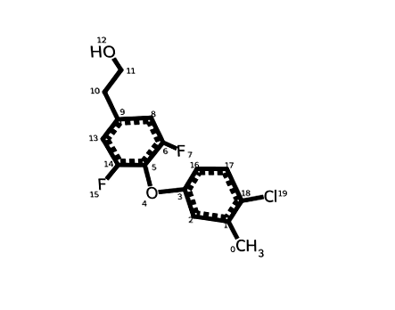 Cc1cc(Oc2c(F)cc(CCO)cc2F)ccc1Cl